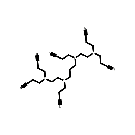 N#CCCP(CCC#N)CCP(CCC#N)CCCP(CCC#N)CCP(CCC#N)CCC#N